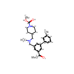 COC(=O)c1cc(CN(C)CC2CCN(C(=O)OC(C)(C)C)CC2)cc(-c2cccc(C#N)c2)c1